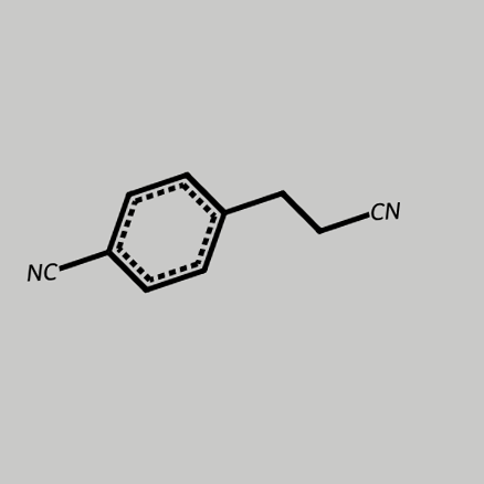 N#CCCc1ccc(C#N)cc1